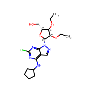 CCO[C@@H]1[C@H](OCC)[C@@H](CO)O[C@H]1n1ncc2c(NC3CCCC3)nc(Cl)nc21